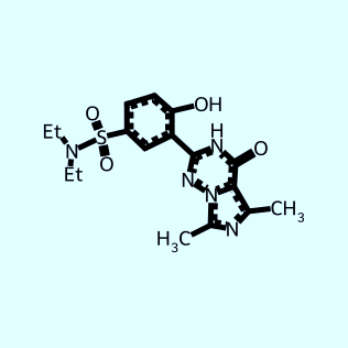 CCN(CC)S(=O)(=O)c1ccc(O)c(-c2nn3c(C)nc(C)c3c(=O)[nH]2)c1